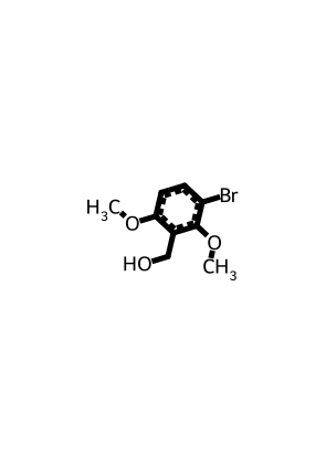 COc1ccc(Br)c(OC)c1CO